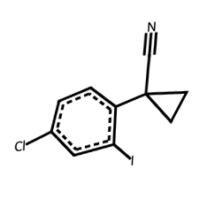 N#CC1(c2ccc(Cl)cc2I)CC1